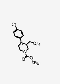 CC(C)(C)OC(=O)N1CCN(c2ccc(Cl)cc2)C(CO)C1